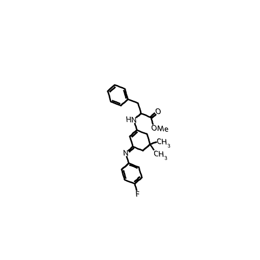 COC(=O)C(Cc1ccccc1)NC1=C/C(=N/c2ccc(F)cc2)CC(C)(C)C1